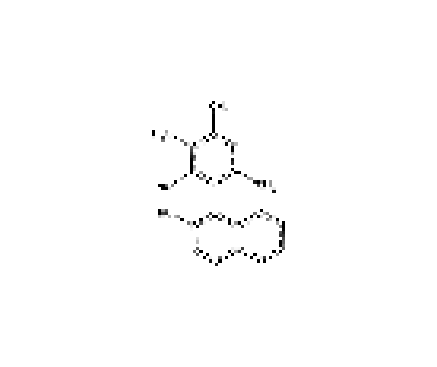 Cc1cc(C)c(-c2c(C#N)ccc3ccccc23)c(O)c1C